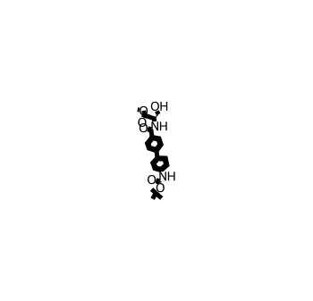 COC(=O)[C@H](CO)NC(=O)c1ccc(-c2ccc(NC(=O)OC(C)(C)C)cc2)cc1